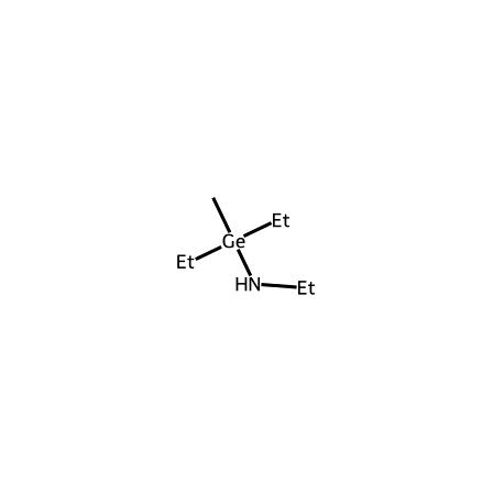 CC[NH][Ge]([CH3])([CH2]C)[CH2]C